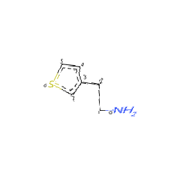 NC[CH]c1ccsc1